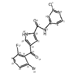 O=C(Nc1ccnc(Cl)n1)c1cc(C(=O)c2c(F)cccc2Br)c[nH]1